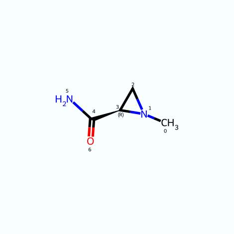 CN1C[C@@H]1C(N)=O